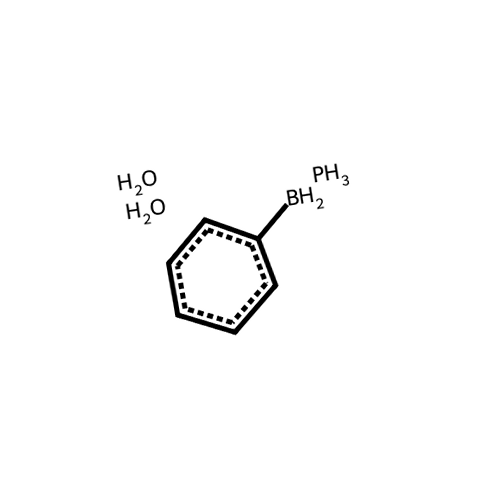 Bc1ccccc1.O.O.P